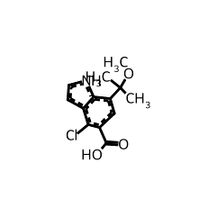 COC(C)(C)c1cc(C(=O)O)c(Cl)c2cc[nH]c12